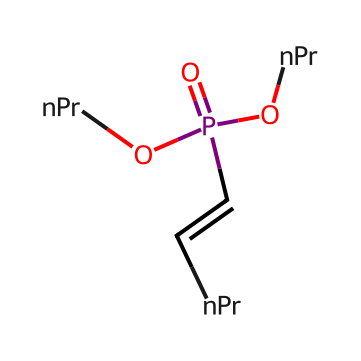 CCCC=CP(=O)(OCCC)OCCC